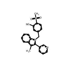 Cc1c(-c2cccnc2)n(Cc2ccc(S(C)(=O)=O)c(C#N)c2)c2ccccc12